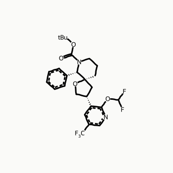 CC(C)(C)OC(=O)N1CCC[C@@]2(C[C@H](c3cc(C(F)(F)F)cnc3OC(F)F)CO2)[C@@H]1c1ccccc1